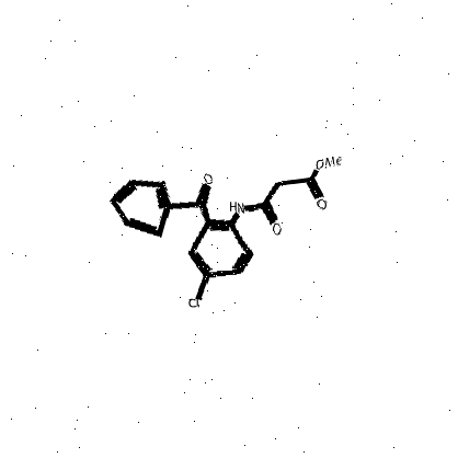 COC(=O)CC(=O)Nc1ccc(Cl)cc1C(=O)c1ccccc1